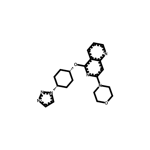 c1cnc2cc(N3CCOCC3)nc(O[C@H]3CC[C@@H](n4ccnn4)CC3)c2c1